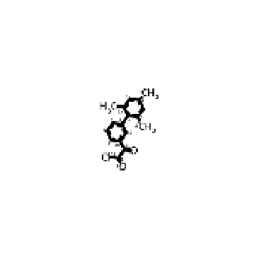 Cc1cc(C)c(-c2cccc(C(=O)C(=O)Cl)c2)c(C)c1